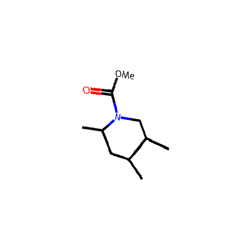 COC(=O)N1CC(C)C(C)CC1C